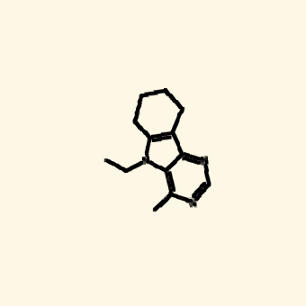 CCn1c2c(c3ncnc(C)c31)CCCC2